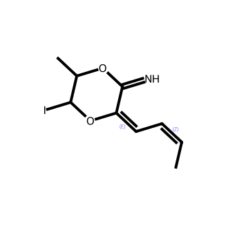 C/C=C\C=C1\OC(I)C(C)OC1=N